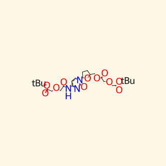 CC(C)(C)OC(=O)COCC(=O)Nc1ccn(C2CCC(COC(=O)COCC(=O)OC(C)(C)C)O2)c(=O)n1